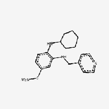 CNSc1ccc(NC2CCCCC2)c(NCc2ccncc2)c1